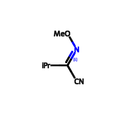 CO/N=C(/C#N)C(C)C